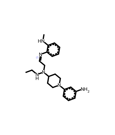 CCNN(C/C=N\c1ccccc1NC)C1CCN(c2cccc(N)c2)CC1